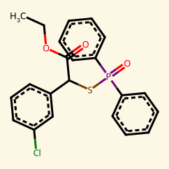 CCOC(=O)C(SP(=O)(c1ccccc1)c1ccccc1)c1cccc(Cl)c1